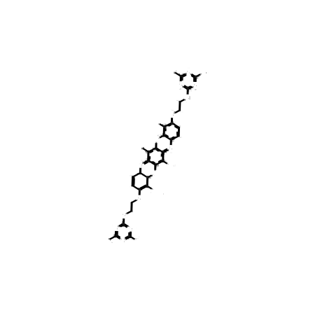 O=S(=O)(O)C1=C(NCCNc2nc(Cl)nc(Cl)n2)C=CC2N=c3c(Cl)c4c(c(Cl)c3OC12)=Nc1ccc(NCCNc2nc(Cl)nc(Cl)n2)c(S(=O)(=O)O)c1O4